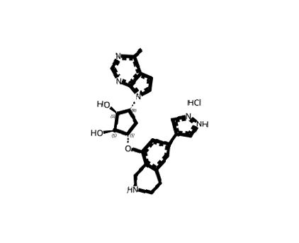 Cc1ncnc2c1ccn2[C@@H]1C[C@H](Oc2cc(-c3cn[nH]c3)cc3c2CNCC3)[C@@H](O)[C@H]1O.Cl